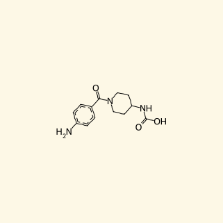 Nc1ccc(C(=O)N2CCC(NC(=O)O)CC2)cc1